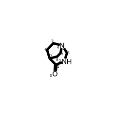 O=C1NCN2CCC1CC2